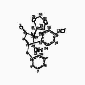 O=C1C=C(Cc2ccccc2)C(O)(c2ccc(Cl)cc2)N1C1=COCO1